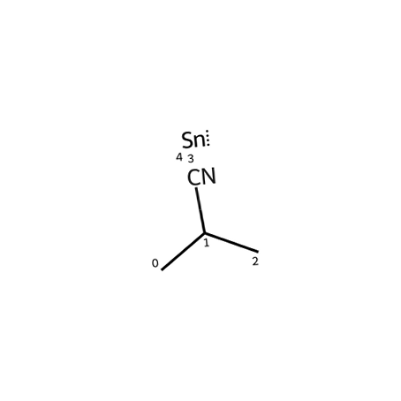 CC(C)C#N.[Sn]